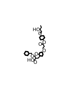 CCC(O)COc1ccc(OC(=O)CCOc2ccc(CC(C(=O)O)C(=O)OCc3ccccc3)cc2)cc1